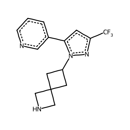 FC(F)(F)c1cc(-c2cccnc2)n(C2CC3(CNC3)C2)n1